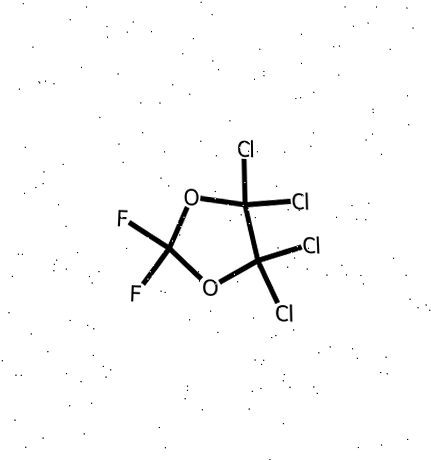 FC1(F)OC(Cl)(Cl)C(Cl)(Cl)O1